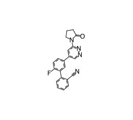 N#Cc1ccccc1-c1cc(-c2cnnc(N3CCCC3=O)c2)ccc1F